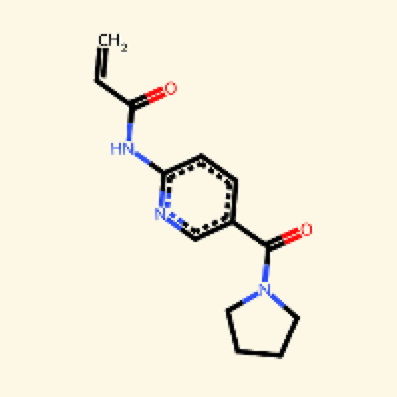 C=CC(=O)Nc1ccc(C(=O)N2CCCC2)cn1